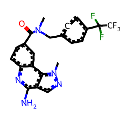 CN(Cc1ccc(C(F)(F)C(F)(F)F)cc1)C(=O)c1ccc2nc(N)c3cnn(C)c3c2c1